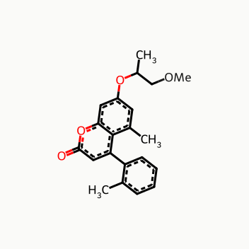 COCC(C)Oc1cc(C)c2c(-c3ccccc3C)cc(=O)oc2c1